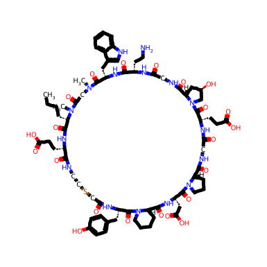 CCCC[C@H]1C(=O)N[C@@H](CCC(=O)O)C(=O)NCCSCC(=O)N[C@@H](Cc2ccc(O)cc2)C(=O)N2CCCC[C@H]2C(=O)N[C@@H](CC(=O)O)C(=O)N2CCC[C@H]2C(=O)NCC(=O)N[C@@H](CCC(=O)O)C(=O)N2C[C@H](O)C[C@H]2C(=O)NCC(=O)N[C@@H](CCN)C(=O)N[C@@H](Cc2c[nH]c3ccccc23)C(=O)N(C)CC(=O)N1C